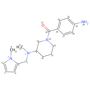 CN(Cc1cccn1C)C1CCCN(C(=O)c2ccc(N)cc2)C1